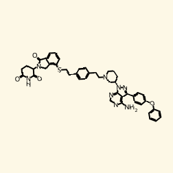 Nc1ncnc2c1c(-c1ccc(Oc3ccccc3)cc1)nn2[C@@H]1CCCN(CCc2ccc(CCSc3cccc4c3CN(C3CCC(=O)NC3=O)C4=O)cc2)C1